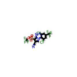 N#Cc1cn(-c2c(Cl)cc(C(F)(F)F)cc2Cl)c(N)c1S(=O)(=O)OC(F)(F)F